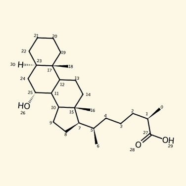 C[C@H](CCC[C@@H](C)[C@H]1CCC2C3C(CC[C@@]21C)[C@@]1(C)CCCC[C@@H]1C[C@H]3O)C(=O)O